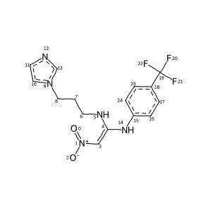 O=[N+]([O-])C=C(NCCCn1ccnc1)Nc1ccc(C(F)(F)F)cc1